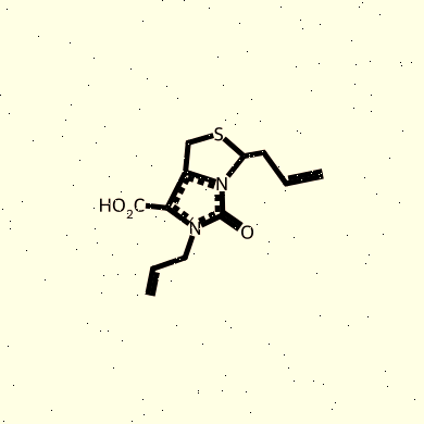 C=CCC1SCc2c(C(=O)O)n(CC=C)c(=O)n21